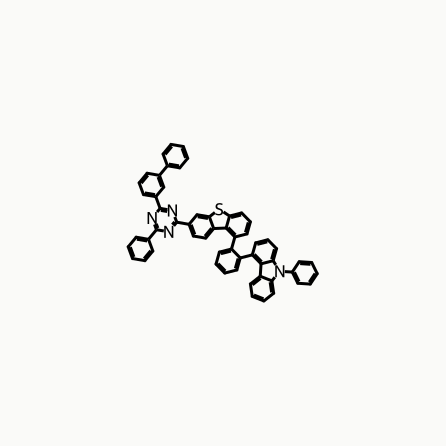 c1ccc(-c2cccc(-c3nc(-c4ccccc4)nc(-c4ccc5c(c4)sc4cccc(-c6ccccc6-c6cccc7c6c6ccccc6n7-c6ccccc6)c45)n3)c2)cc1